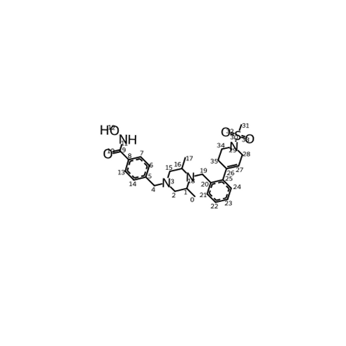 CC1CN(Cc2ccc(C(=O)NO)cc2)CC(C)N1Cc1ccccc1C1=CCN(S(C)(=O)=O)CC1